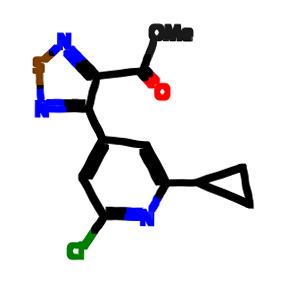 COC(=O)c1nsnc1-c1cc(Cl)nc(C2CC2)c1